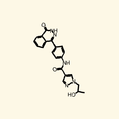 CC(O)Cn1cc(C(=O)Nc2ccc(-c3n[nH]c(=O)c4ccccc34)cc2)cn1